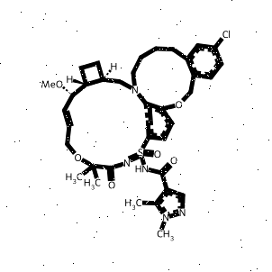 CO[C@H]1/C=C/COC(C)(C)C(=O)N=S(=O)(NC(=O)c2cnn(C)c2C)c2ccc3c(c2)N(CCCCc2cc(Cl)ccc2CO3)C[C@@H]2CC[C@H]21